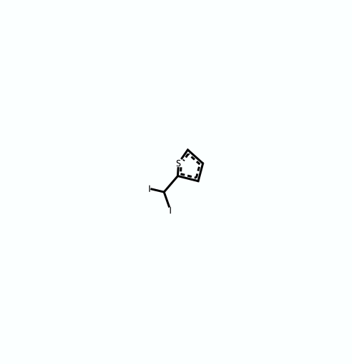 IC(I)c1cccs1